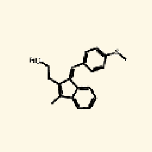 CSc1ccc(/C=C2/C(CCO)=C(C)c3ccccc32)cc1